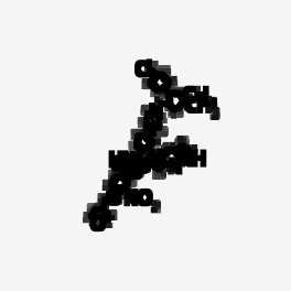 CC1(C)CCC(CN2CCN(c3ccc(C(=O)NS(=O)(=O)c4ccc(OCC5CCOCC5)c([N+](=O)[O-])c4)c(-n4ncc5nc6[nH]ccc6cc54)c3)CC2)=C(c2ccc(Cl)cc2)C1